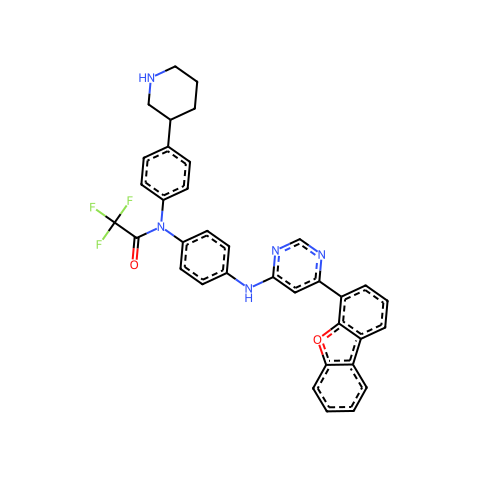 O=C(N(c1ccc(Nc2cc(-c3cccc4c3oc3ccccc34)ncn2)cc1)c1ccc(C2CCCNC2)cc1)C(F)(F)F